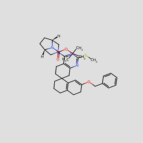 CSc1nc2c(c(N3C[C@H]4CC[C@@H](C3)N4C(=O)OC(C)(C)C)n1)CCC1(CCCC3=C1C=C(OCc1ccccc1)CC3)C2